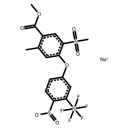 COC(=O)c1cc(S(C)(=O)=O)c(Oc2ccc(S(=O)[O-])c(S(F)(F)(F)(F)F)c2)cc1C.[Na+]